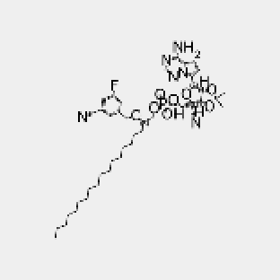 CCCCCCCCCCCCCCCCC[C@H](COP(=O)(O)OC[C@@]1(C#N)O[C@@H](c2ccc3c(N)ncnn23)[C@@H]2OC(C)(C)O[C@@H]21)OCc1cc(F)cc(C#N)c1